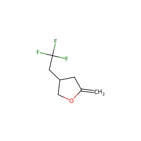 C=C1CC(CC(F)(F)F)CO1